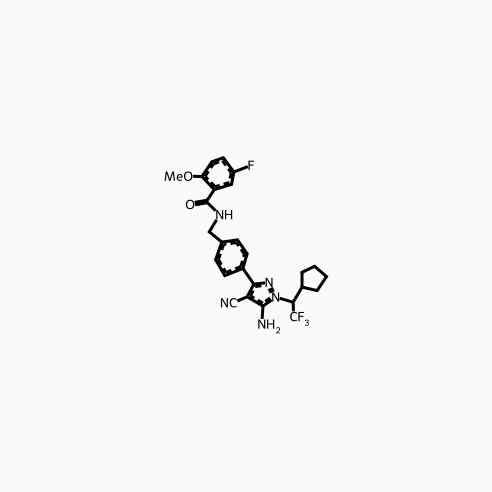 COc1ccc(F)cc1C(=O)NCc1ccc(-c2nn(C(C3CCCC3)C(F)(F)F)c(N)c2C#N)cc1